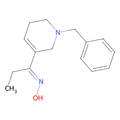 CCC(=NO)C1=CCCN(Cc2ccccc2)C1